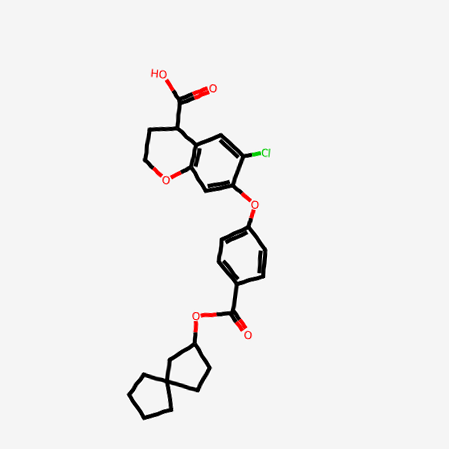 O=C(OC1CCC2(CCCC2)C1)c1ccc(Oc2cc3c(cc2Cl)C(C(=O)O)CCO3)cc1